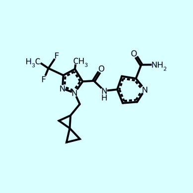 Cc1c(C(C)(F)F)nn(CC2CC23CC3)c1C(=O)Nc1ccnc(C(N)=O)c1